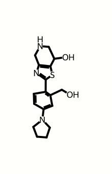 OCc1cc(N2CCCC2)ccc1-c1nc2c(s1)C(O)CNC2